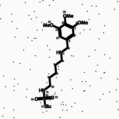 COc1cc(CNCCCCCNS(=O)(=O)C(C)(C)C)cc(OC)c1OC